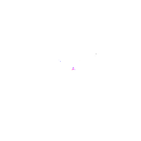 COC1CCC2(CC1)Cc1ccc(OCC3CC3)cc1C21N=C(N)N(C(C)C)C1=O